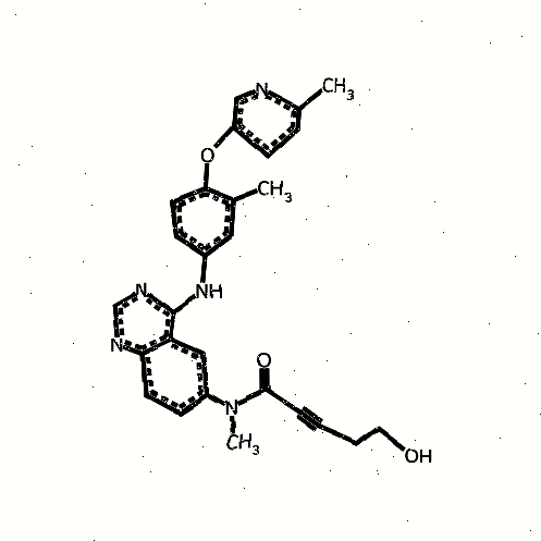 Cc1ccc(Oc2ccc(Nc3ncnc4ccc(N(C)C(=O)C#CCCO)cc34)cc2C)cn1